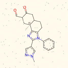 Cn1cc(-c2nc3c(n2-c2ccccc2)CCC2CC(=O)C(C=O)C[C@]32C)cn1